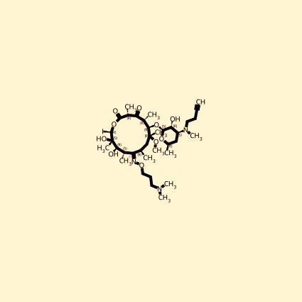 C#CCCN(C)[C@H]1C[C@@H](C)O[C@@H](O[C@@H]2[C@@H](C)C(=O)[C@@H](C)C(=O)O[C@H](I)[C@@](C)(O)[C@H](O)[C@@H](C)/C(=N/OCCCN(C)C)[C@H](C)C[C@@]2(C)OC)[C@@H]1O